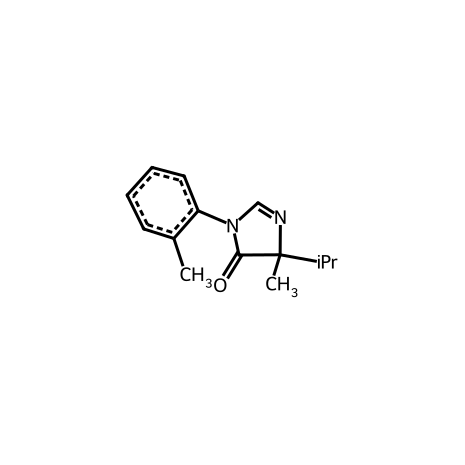 Cc1ccccc1N1C=NC(C)(C(C)C)C1=O